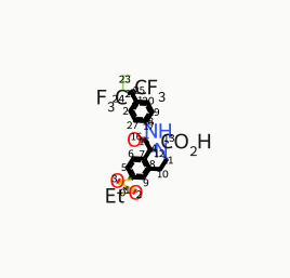 CCS(=O)(=O)c1ccc2c(c1)CCN(C(=O)O)C2C(=O)Nc1ccc(C(F)(C(F)(F)F)C(F)(F)F)cc1